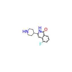 O=c1[nH]c(C2CCNCC2)cc2c(F)cccc12